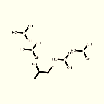 OB(O)O.OB(O)O.OB(O)O.OB(O)O.[Li][CH2]C(C)O